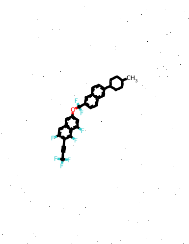 CC1CCC(c2ccc3cc(C(F)(F)Oc4cc(F)c5c(F)c(C#CC(F)(F)F)c(F)cc5c4)ccc3c2)CC1